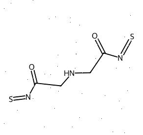 O=C(CNCC(=O)N=S)N=S